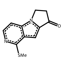 CSc1nccc2c1cc1n2CCC1=O